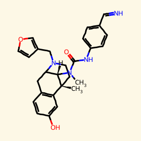 CN(C(=O)Nc1ccc(C=N)cc1)[C@H]1C2Cc3ccc(O)cc3[C@@]1(C)CCN2Cc1ccoc1